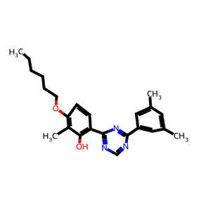 CCCCCCOc1ccc(-c2ncnc(-c3cc(C)cc(C)c3)n2)c(O)c1C